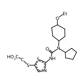 CCOC1CCC(N(C(=O)Nc2ncc(SCC(=O)O)s2)C2CCCC2)CC1